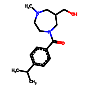 CC(C)c1ccc(C(=O)N2CCN(C)CC(CO)C2)cc1